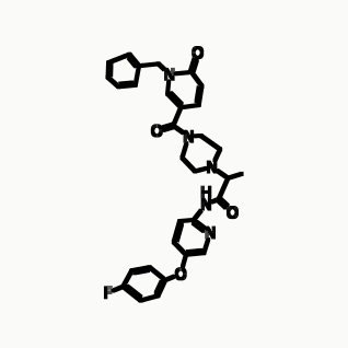 CC(C(=O)Nc1ccc(Oc2ccc(F)cc2)cn1)N1CCN(C(=O)c2ccc(=O)n(Cc3ccccc3)c2)CC1